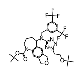 CC(C)(C)OCCn1nnc(N(Cc2cc(C(F)(F)F)cc(C(F)(F)F)c2)C2CCCN(C(=O)OC(C)(C)C)c3cc4c(cc32)COC4)n1